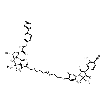 CC(C)(C)C(NC(=O)COCCCOCCCCOc1ccc(N2C(=S)N(c3ccc(C#N)c(O)c3)C(=O)C2(C)C)cc1F)C(=O)N1C[C@H](O)C[C@H]1C(=O)NCc1ccc(-c2cnco2)cc1